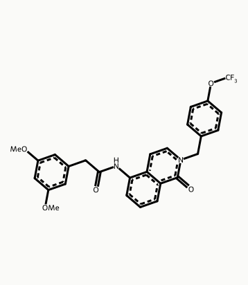 COc1cc(CC(=O)Nc2cccc3c(=O)n(Cc4ccc(OC(F)(F)F)cc4)ccc23)cc(OC)c1